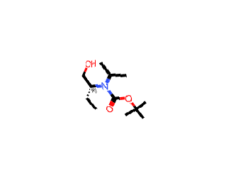 CC[C@H](CO)N(C(=O)OC(C)(C)C)C(C)C